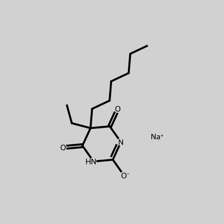 CCCCCCC1(CC)C(=O)N=C([O-])NC1=O.[Na+]